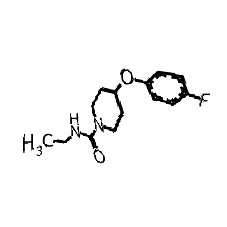 CCNC(=O)N1CCC(Oc2ccc(F)cc2)CC1